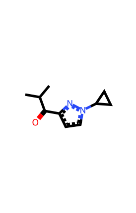 CC(C)C(=O)c1ccn(C2CC2)n1